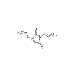 C=CCC1=CC(=O)N(CC=C)C1=O